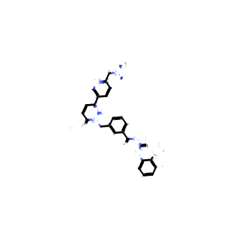 C=C(NC(=C)c1cccc(CN2N=C(c3ccc(CN(C)C)nc3)C=CC2=C)c1)Nc1ccccc1C